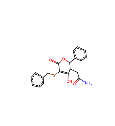 NC(=O)CC1C(O)=C(SCc2ccccc2)C(=O)OC1c1ccccc1